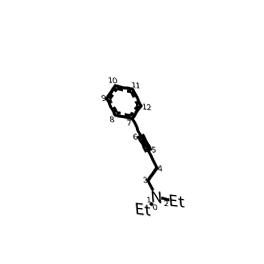 CCN(CC)CCC#Cc1ccccc1